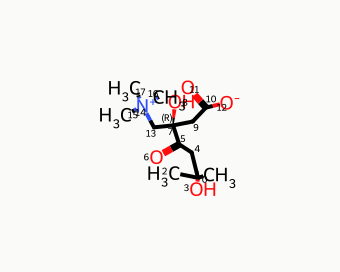 CC(C)(O)CC(=O)[C@@](O)(CC(=O)[O-])C[N+](C)(C)C